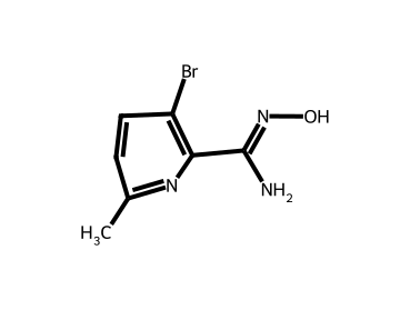 Cc1ccc(Br)c(C(N)=NO)n1